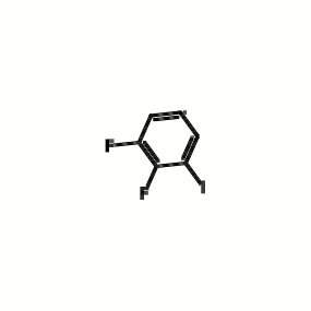 Fc1c[c]cc(I)c1F